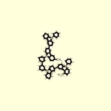 Cc1ccc2c(c1)c1cc(-c3ccc4c(c3)c3ccccc3n4-c3ccccc3)ccc1n2-c1cccc(-c2cccc(-n3c4ccccc4c4cc(-c5ccc6c(c5)c5c(C)cccc5n6-c5ccccc5)ccc43)c2)c1